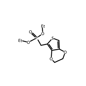 CCOP(=O)(Cc1scc2c1OCCO2)OCC